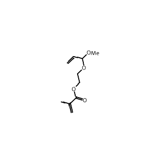 C=CC(OC)OCCOC(=O)C(=C)C